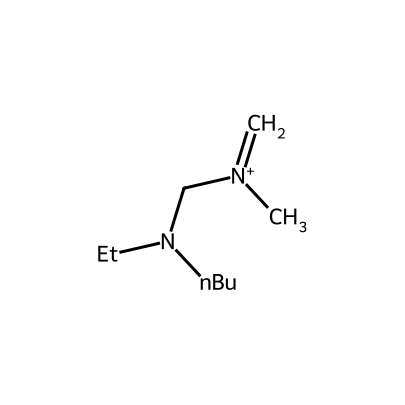 C=[N+](C)CN(CC)CCCC